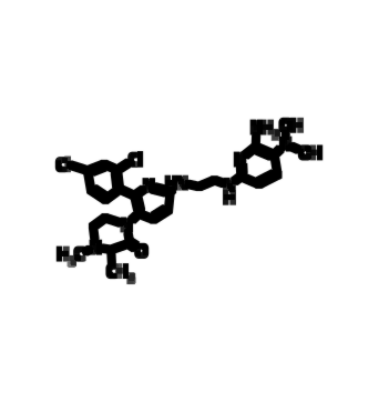 CC1C(=O)N(c2ccc(NCCNc3ccc(N(O)O)c(N)n3)nc2-c2ccc(Cl)cc2Cl)CCN1C